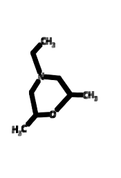 CCN1CC(C)OC(C)C1